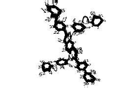 C1=CCC(Oc2ccc(-n3c(-c4ccc(-c5ccccc5)cc4)cc4cc5c(cc(-c6ccc(-c7ccccc7)cc6)n5-c5ccc(Oc6ccccc6)cc5)cc43)cc2)C=C1